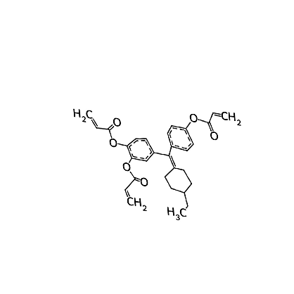 C=CC(=O)Oc1ccc(C(=C2CCC(CC)CC2)c2ccc(OC(=O)C=C)c(OC(=O)C=C)c2)cc1